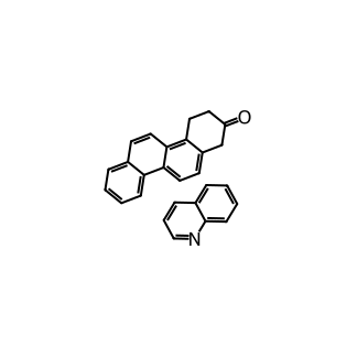 O=C1CCc2c(ccc3c2ccc2ccccc23)C1.c1ccc2ncccc2c1